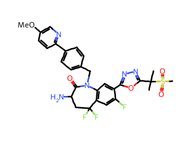 COc1ccc(-c2ccc(CN3C(=O)C(N)CC(F)(F)c4cc(F)c(-c5nnc(C(C)(C)S(C)(=O)=O)o5)cc43)cc2)nc1